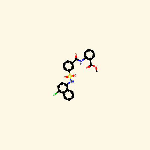 COC(=O)c1ccccc1NC(=O)c1cccc(S(=O)(=O)Nc2ccc(Cl)c3ccccc23)c1